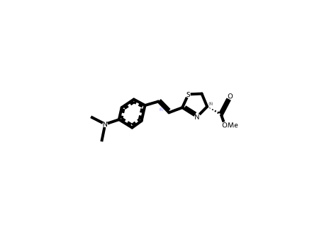 COC(=O)[C@H]1CSC(/C=C/c2ccc(N(C)C)cc2)=N1